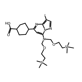 C[Si](C)(C)CCOCN(COCC[Si](C)(C)C)c1cc(C2CCC(C(=O)O)CC2)nc2c(I)cnn12